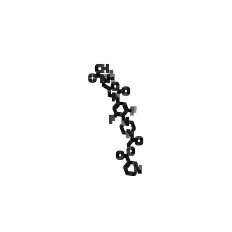 CC(=O)NCC1CN(c2cc(F)c(N3CCN(C(=O)COC(=O)c4cccnc4)CC3)c(F)c2)C(=O)O1